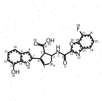 O=C(NC1SC=C(c2cc3cccc(O)c3o2)C1C(=O)O)c1nc2cccc(F)c2o1